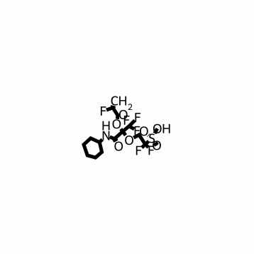 C=C(F)C(=O)OC(OCC(F)(F)S(=O)(=O)O)(C(=O)NC1CCCCC1)C(F)(F)F